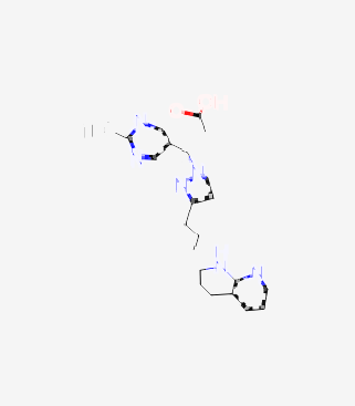 Cc1ncc([C@H](CC(=O)O)n2ccc(CCC[C@H]3CCc4cccnc4N3)n2)cn1